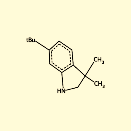 CC(C)(C)c1ccc2c(c1)NCC2(C)C